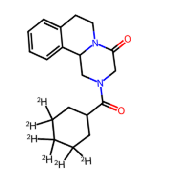 [2H]C1([2H])CC(C(=O)N2CC(=O)N3CCc4ccccc4C3C2)CC([2H])([2H])C1([2H])[2H]